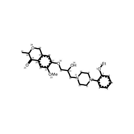 CCOc1ccccc1N1CCN(CC(O)COc2cc3c(cc2OC)C(=O)C(C)OC3)CC1